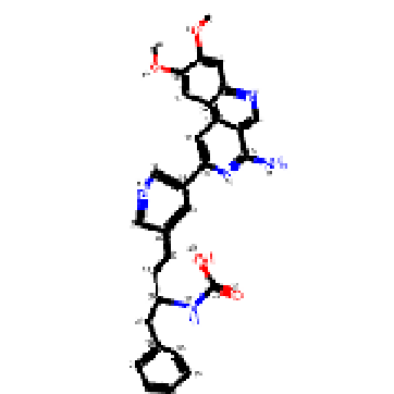 COc1cc2ncc3c(N)nc(-c4cncc(CC[C@H](Cc5ccccc5)NC(=O)O)c4)cc3c2cc1OC